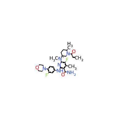 C=CC(=O)N1C[C@H](N(C)c2nc(Nc3ccc(N4CCOCC4)c(F)c3)c(C(N)=O)c(C)c2F)CCC1C